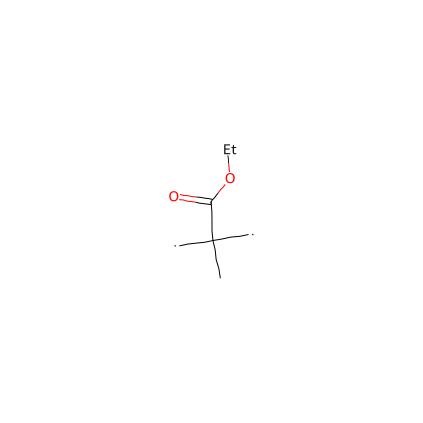 [CH2]C([CH2])(C)C(=O)OCC